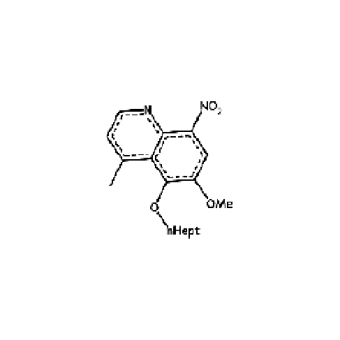 CCCCCCCOc1c(OC)cc([N+](=O)[O-])c2nccc(C)c12